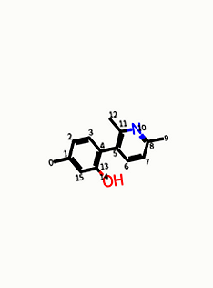 Cc1ccc(-c2ccc(C)nc2C)c(O)c1